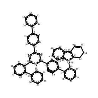 c1c(-c2nc(-c3ccc(-c4ccccc4)cc3)nc(-c3ccccc3-c3ccccc3)n2)ccc(-c2ccccc2-n2c3c(c4ccccc42)C=CCC3)c#1